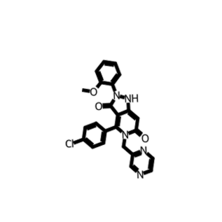 COc1ccccc1-n1[nH]c2cc(=O)n(Cc3cnccn3)c(-c3ccc(Cl)cc3)c2c1=O